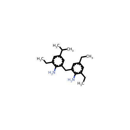 CCc1cc(CC)c(N)c(Cc2cc(C(C)C)cc(CC)c2N)c1